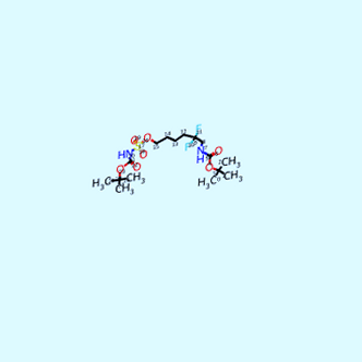 CC(C)(C)OC(=O)NCC(F)(F)CCCCOS(=O)(=O)NC(=O)OC(C)(C)C